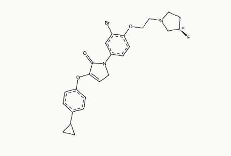 O=C1C(Oc2ccc(C3CC3)cc2)=CCN1c1ccc(OCCN2CC[C@@H](F)C2)c(Br)c1